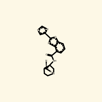 O=C(N[C@@H]1CN2CCC1CC2)c1cccc2oc(-c3cscn3)nc12